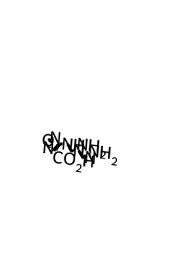 N/N=C\N(N)CNc1nonc1C(=O)O